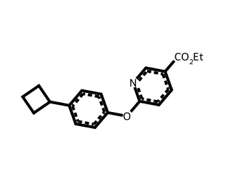 CCOC(=O)c1ccc(Oc2ccc(C3CCC3)cc2)nc1